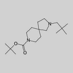 CC(C)(C)CN1CCC2(CCN(C(=O)OC(C)(C)C)CC2)C1